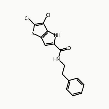 O=C(NCCc1ccccc1)c1cc2sc(Cl)c(Cl)c2[nH]1